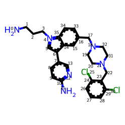 NCCCn1cc(-c2ccc(N)nc2)c2cc(CN3CCN(Cc4c(Cl)cccc4Cl)CC3)ccc21